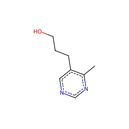 Cc1n[c]ncc1CCCO